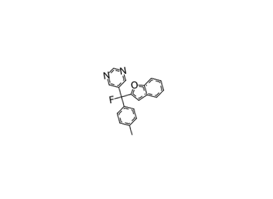 Cc1ccc(C(F)(c2cncnc2)c2cc3ccccc3o2)cc1